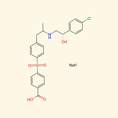 CC(Cc1ccc(S(=O)(=O)c2ccc(C(=O)O)cc2)cc1)NC[C@@H](O)c1ccc(Cl)cc1.[NaH]